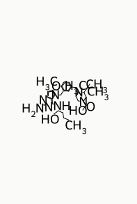 CCCCC(CO)Nc1nc(N)nc2ccn(Cc3cc(CN4CCN(C(=O)O)CC4C(C)(C)C)ccc3OC)c12